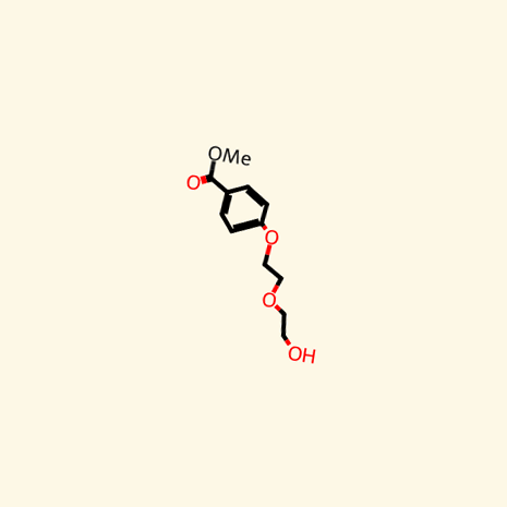 COC(=O)c1ccc(OCCOCCO)cc1